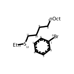 Brc1ccccc1.CCCCCCCCCCCCSCC